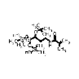 C=C(C)C(=O)NCCC(O[Si](C)(C)C)[SiH](O[Si](C)(C)CCC)O[Si](C)(C)CCC